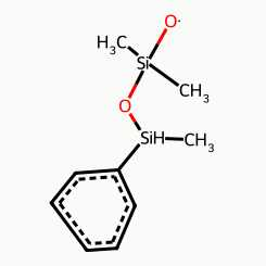 C[SiH](O[Si](C)(C)[O])c1ccccc1